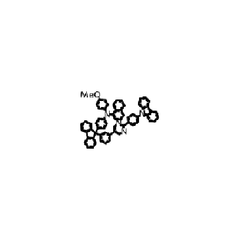 COc1ccc(N(c2ccc(C3(c4cccc(-c5cnc(-c6ccc(-n7c8ccccc8c8ccccc87)cc6)nc5)c4)c4ccccc4-c4ccccc43)cc2)c2cccc3ccccc23)cc1